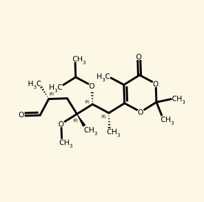 CO[C@](C)(C[C@@H](C)C=O)[C@H](OC(C)C)[C@@H](C)C1=C(C)C(=O)OC(C)(C)O1